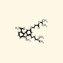 CC(C)OC(=O)CCOc1cc(CCCN(C)C)c2c(c1)c1c(C(N)=O)cccc1n2C